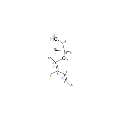 C/C=C/C(C)=C(/C)OC(C)(C)CO